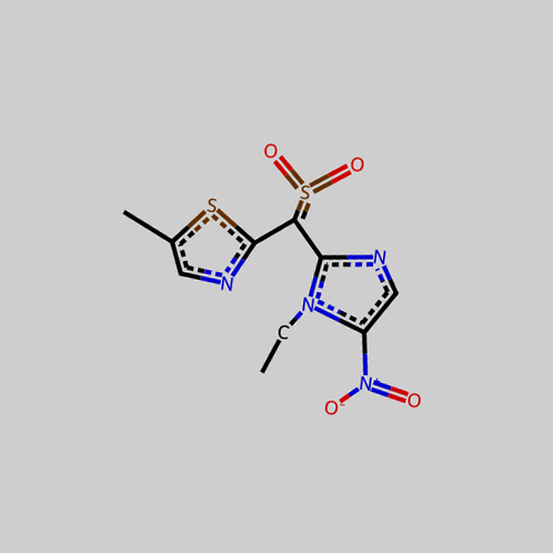 CCn1c([N+](=O)[O-])cnc1C(c1ncc(C)s1)=S(=O)=O